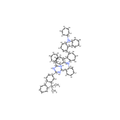 C[Si]1(C)c2ccccc2-c2ccc(-c3nc(-c4ccccc4)nc(-c4ccccc4-n4c5ccccc5c5c(-c6cccc7c6c6ccccc6n7-c6ccccc6)cccc54)n3)cc21